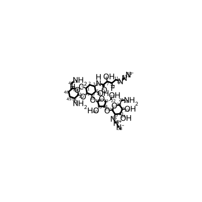 C[C@H]1C[C@@H](NC(=O)[C@@H](O)[C@H](F)CN=[N+]=[N-])[C@H](O)[C@@H](O[C@@H]2O[C@H](CO)[C@@H](O[C@H]3O[C@@H](CN)[C@@H](O)[C@H](O)[C@H]3N=[N+]=[N-])[C@H]2O)[C@@H]1O[C@H]1O[C@H](CN)CC[C@H]1N